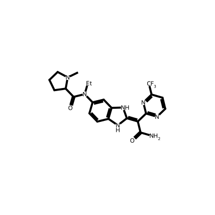 CCN(C(=O)C1CCCN1C)c1ccc2c(c1)NC(=C(C(N)=O)c1nccc(C(F)(F)F)n1)N2